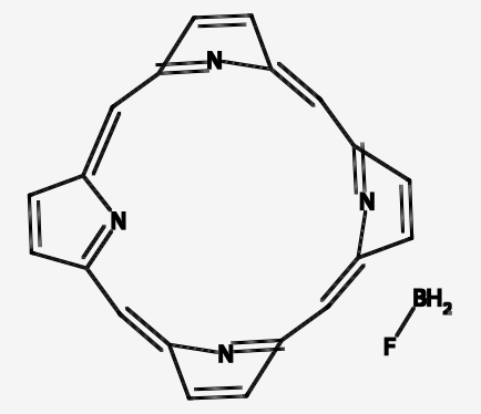 BF.C1=CC2=NC1=CC1=NC(=CC3=NC(=CC4=NC(=C2)C=C4)C=C3)C=C1